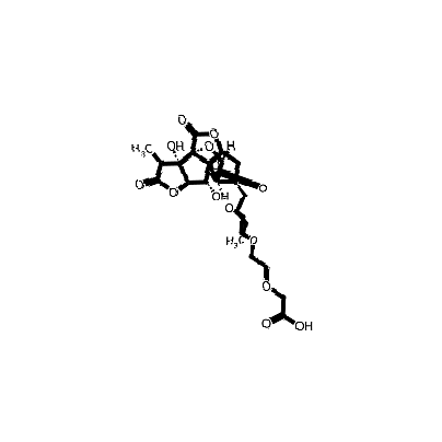 CCCC[C@@H]1CC2OC(=O)[C@@]34O[C@H]5OC(=O)[C@@H](OCCOCCOCC(=O)O)C15C23[C@H](O)C1OC(=O)C(C)[C@]14O